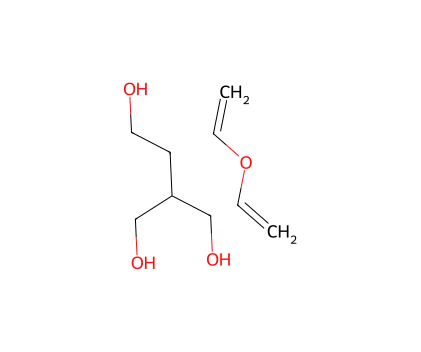 C=COC=C.OCCC(CO)CO